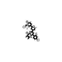 Cc1nc2c(-c3ccc(Cl)cc3F)cc(C3CCOC(c4ccc(=O)n(CC(F)(F)F)c4)C3)nn2c(=O)c1C